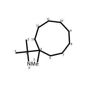 CNC(C)(C)C1(C)CCCCCCCC1